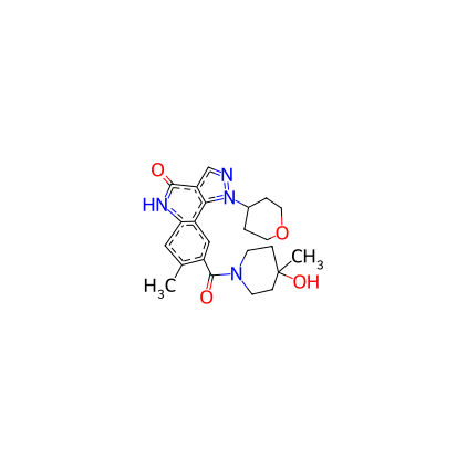 Cc1cc2[nH]c(=O)c3cnn(C4CCOCC4)c3c2cc1C(=O)N1CCC(C)(O)CC1